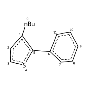 CCCCc1ccsc1-c1ccccc1